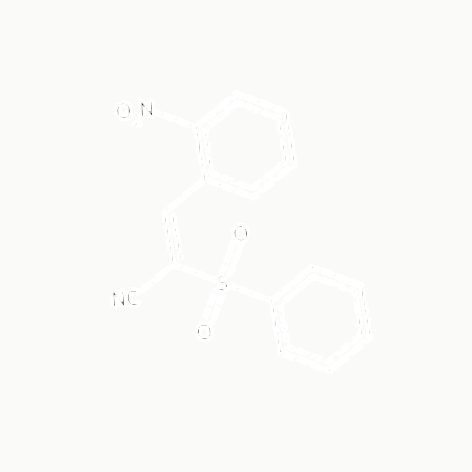 N#C/C(=C/c1ccccc1[N+](=O)[O-])S(=O)(=O)c1ccccc1